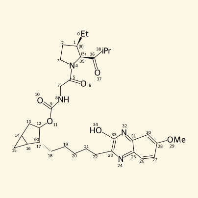 CC[C@@H]1CCN(C(=O)CNC(=O)OC2CC3CC3[C@H]2CCCCCc2nc3ccc(OC)cc3nc2O)[C@@H]1C(=O)C(C)C